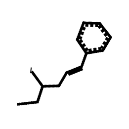 CCC(I)CC=Cc1ccccc1